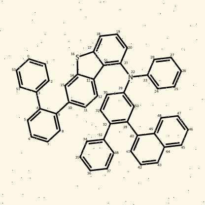 c1ccc(-c2ccccc2-c2ccc3c(c2)sc2cccc(N(c4ccccc4)c4ccc(-c5ccccc5)c(-c5cccc6ccccc56)c4)c23)cc1